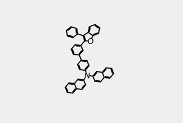 c1ccc(-c2c(-c3cccc(-c4ccc(N(c5ccc6ccccc6c5)c5ccc6ccccc6c5)cc4)c3)oc3ccccc23)cc1